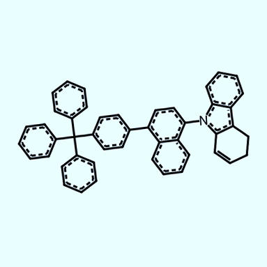 C1=Cc2c(c3ccccc3n2-c2ccc(-c3ccc(C(c4ccccc4)(c4ccccc4)c4ccccc4)cc3)c3ccccc23)CC1